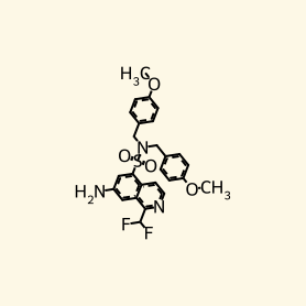 COc1ccc(CN(Cc2ccc(OC)cc2)S(=O)(=O)c2cc(N)cc3c(C(F)F)nccc23)cc1